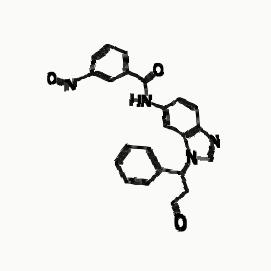 O=CCC(c1ccccc1)n1cnc2ccc(NC(=O)c3cccc(N=O)c3)cc21